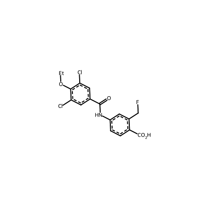 CCOc1c(Cl)cc(C(=O)Nc2ccc(C(=O)O)c(CF)c2)cc1Cl